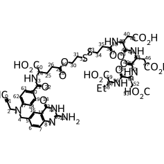 C#CCN(Cc1ccc2nc(N)[nH]c(=O)c2c1)c1ccc(C(=O)NC(CCC(=O)OCCSSCCC(=O)N[C@@H](CC(=O)O)C(=O)N[C@@H](CC(=O)O)C(=O)N[C@@H](CC(=O)O)C(=O)N[C@@H](CC)C(=O)O)C(=O)O)cc1